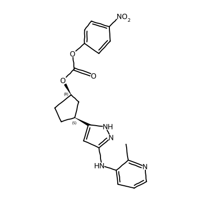 Cc1ncccc1Nc1cc([C@H]2CC[C@@H](OC(=O)Oc3ccc([N+](=O)[O-])cc3)C2)[nH]n1